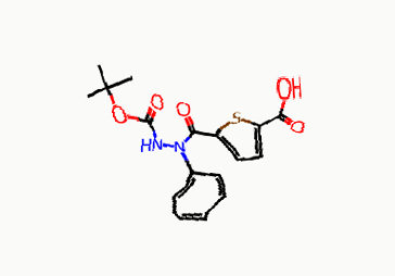 CC(C)(C)OC(=O)NN(C(=O)c1ccc(C(=O)O)s1)c1ccccc1